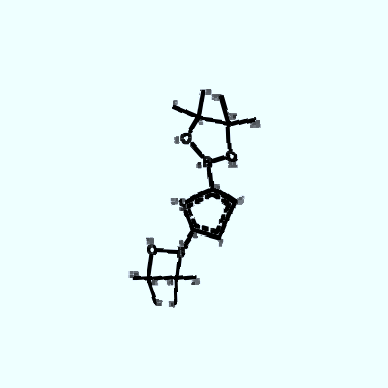 CC1(C)OB(c2ccc(B3OC(C)(C)C3(C)C)s2)OC1(C)C